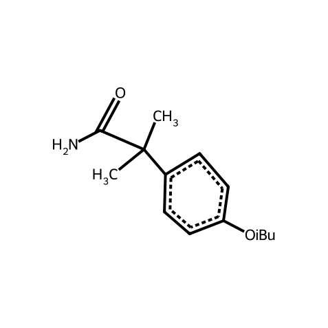 CC(C)COc1ccc(C(C)(C)C(N)=O)cc1